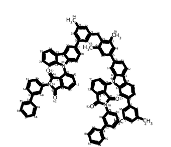 Cc1cc(C)cc(-c2ccc3c4ccc(-c5cc(C)c(Cc6cc(C)cc(-c7ccc8c(c7)c7ccccc7n8-c7cccc8c7C(=O)N(c7cccc(-c9ccccc9)c7)C8=O)c6)c(C)c5)cc4n(-c4cccc5c4C(=O)N(c4cccc(-c6ccccc6)c4)C5=O)c3c2)c1